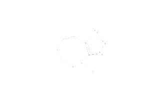 CCC1CCCCCc2nn[nH]c21